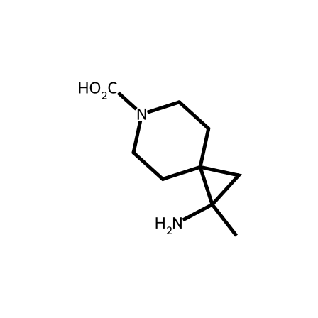 CC1(N)CC12CCN(C(=O)O)CC2